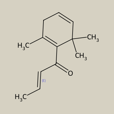 C/C=C/C(=O)C1=C(C)CC=CC1(C)C